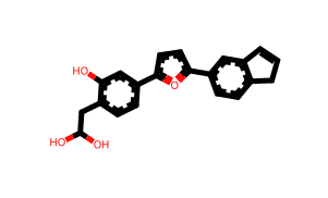 Oc1cc(-c2ccc(-c3ccc4c(c3)C=CC4)o2)ccc1CC(O)O